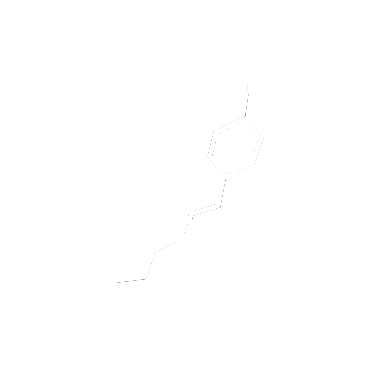 Fc1ccc(C=NOCCCl)cc1